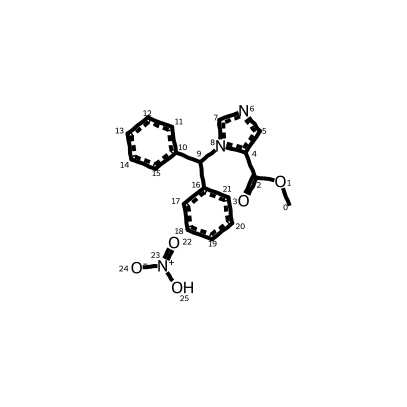 COC(=O)c1cncn1C(c1ccccc1)c1ccccc1.O=[N+]([O-])O